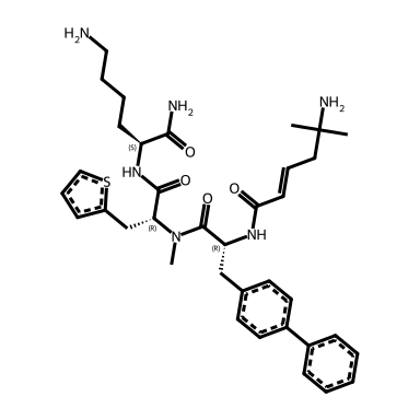 CN(C(=O)[C@@H](Cc1ccc(-c2ccccc2)cc1)NC(=O)C=CCC(C)(C)N)[C@H](Cc1cccs1)C(=O)N[C@@H](CCCCN)C(N)=O